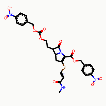 CNC(=O)/C=C/SC1=C(C(=O)OCc2ccc([N+](=O)[O-])cc2)N2C(=O)C(CCOC(=O)OCc3ccc([N+](=O)[O-])cc3)C2C1